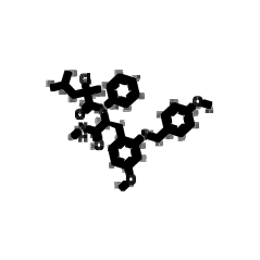 CNC(=O)[C@H](Cc1ccc(OC)cc1SCc1ccc(OC)cc1)N(C(=O)C(C)(Cl)CC(C)C)c1ccccc1